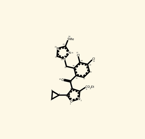 CCOC(=O)c1noc(C2CC2)c1C(=O)c1ccc(Cl)c(Cl)c1Cn1cnc(SC)n1